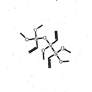 C=C[Si](OC)(OC)O[Si](C=C)(OC)[Si](C=C)(OC)OC